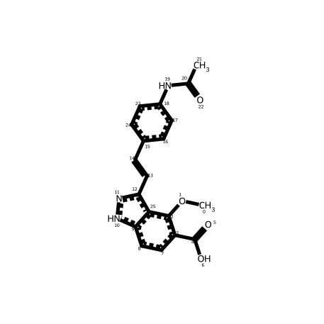 COc1c(C(=O)O)ccc2[nH]nc(C=Cc3ccc(NC(C)=O)cc3)c12